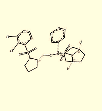 O=S(=O)(CCC[C@@H]1CCCN1S(=O)(=O)c1cccc(Cl)c1Cl)N1[C@@H]2CC[C@H]1C[C@H](Oc1ccncc1)C2